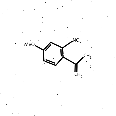 C=C(C)c1ccc(OC)cc1[N+](=O)[O-]